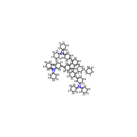 c1ccc(-c2ccc3c(c2)-c2c(-c4cccc(N(c5ccccc5)c5ccccc5)c4)cccc2C32c3ccc(-c4ccc5c6ccccc6n(-c6ccccc6)c5c4)cc3-c3c(-c4ccc(N(c5ccccc5)c5ccccc5)cc4)cccc32)cc1